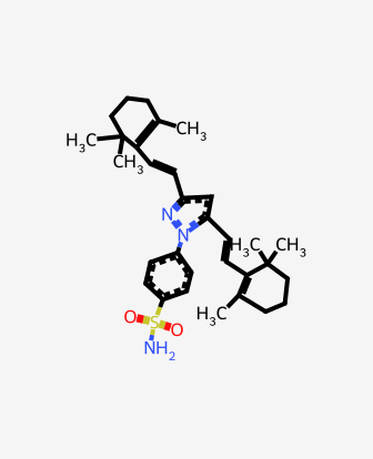 CC1=C(/C=C/c2cc(/C=C/C3=C(C)CCCC3(C)C)n(-c3ccc(S(N)(=O)=O)cc3)n2)C(C)(C)CCC1